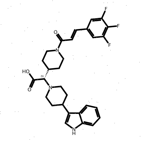 O=C(O)[C@H](C1CCN(C(=O)C=Cc2cc(F)c(F)c(F)c2)CC1)N1CCC(c2c[nH]c3ccccc23)CC1